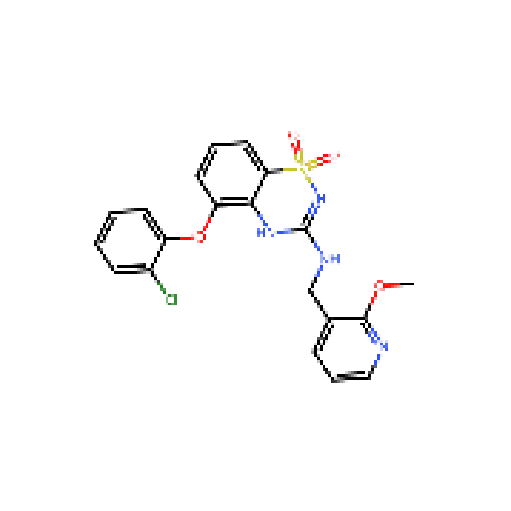 COc1ncccc1CNC1=NS(=O)(=O)c2cccc(Oc3ccccc3Cl)c2N1